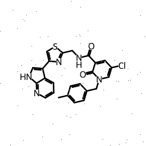 Cc1ccc(Cn2cc(Cl)cc(C(=O)NCc3nc(-c4c[nH]c5ncccc45)cs3)c2=O)cc1